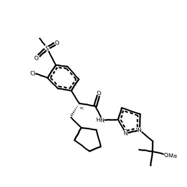 COC(C)(C)Cn1ccc(NC(=O)[C@H](CC2CCCC2)c2ccc(S(C)(=O)=O)c(Cl)c2)n1